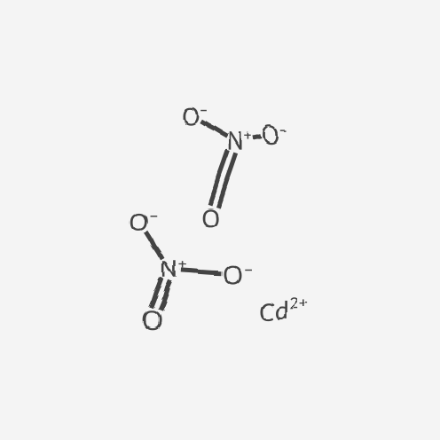 O=[N+]([O-])[O-].O=[N+]([O-])[O-].[Cd+2]